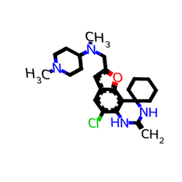 C=C1Nc2c(Cl)cc3cc(CN(C)C4CCN(C)CC4)oc3c2C2(CCCCC2)N1